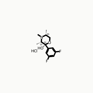 C[C@@H]1CO[C@@](O)(c2cc(F)cc(F)c2)[C@H](C)N1C.Cl